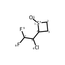 [O-][S+]1CCC1[C](Cl)C(F)F